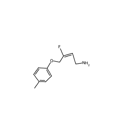 Cc1ccc(OC/C(F)=C\CN)cc1